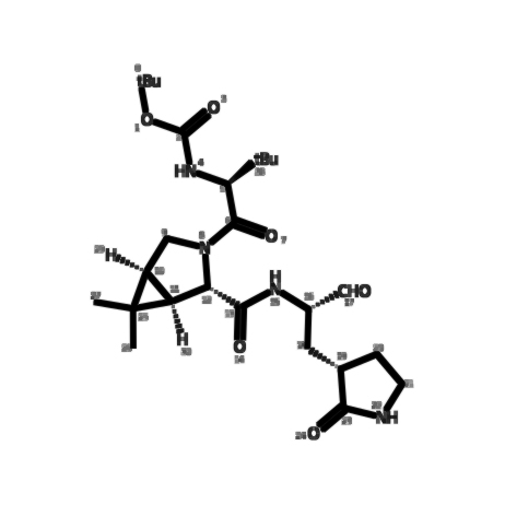 CC(C)(C)OC(=O)N[C@H](C(=O)N1C[C@H]2[C@@H]([C@H]1C(=O)N[C@H](C=O)C[C@@H]1CCNC1=O)C2(C)C)C(C)(C)C